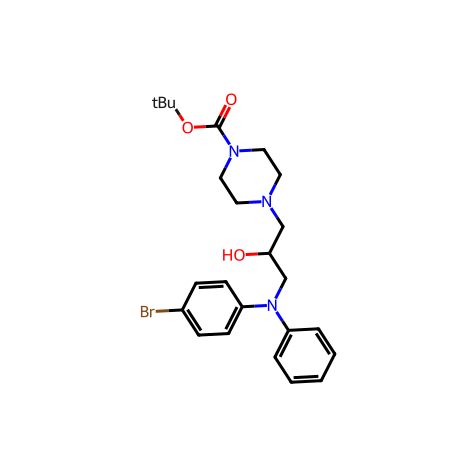 CC(C)(C)OC(=O)N1CCN(CC(O)CN(c2ccccc2)c2ccc(Br)cc2)CC1